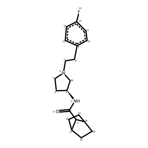 O=C(N[C@H]1CCN(CCc2ccc(F)cc2)C1)C1C2CCC1CC2